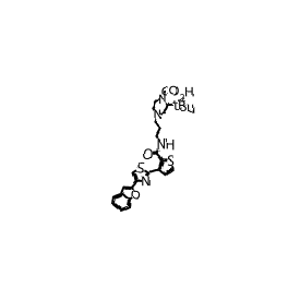 CC(C)(C)C1CN(CCCNC(=O)c2sccc2-c2nc(-c3cc4ccccc4o3)cs2)CCN1C(=O)O